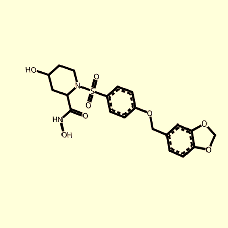 O=C(NO)C1CC(O)CCN1S(=O)(=O)c1ccc(OCc2ccc3c(c2)OCO3)cc1